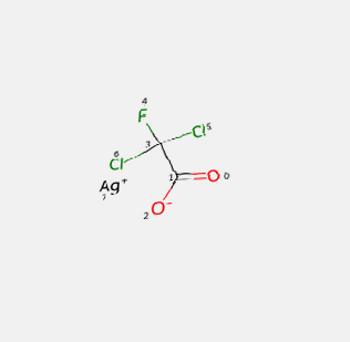 O=C([O-])C(F)(Cl)Cl.[Ag+]